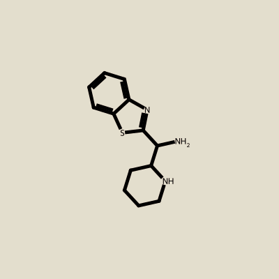 NC(c1nc2ccccc2s1)C1CCCCN1